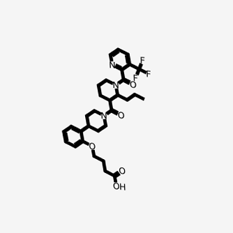 CCCC1C(C(=O)N2CCC(c3ccccc3OCCCC(=O)O)CC2)CCCN1C(=O)c1ncccc1C(F)(F)F